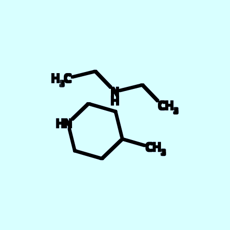 CC1CCNCC1.CCNCC